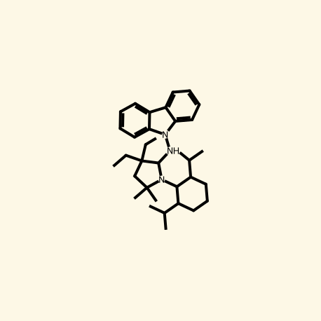 CCC1(CC)CC(C)(C)N(C2C(C(C)C)CCCC2C(C)C)C1Nn1c2ccccc2c2ccccc21